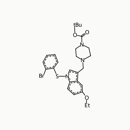 CCOc1ccc2c(c1)c(CN1CCN(C(=O)OC(C)(C)C)CC1)cn2Sc1ccccc1Br